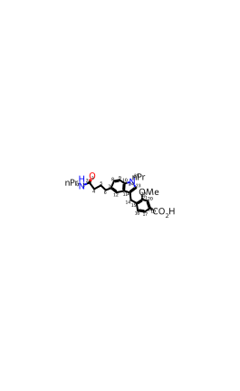 CCCNC(=O)CCCc1ccc2c(c1)c(Cc1ccc(C(=O)O)cc1OC)cn2CCC